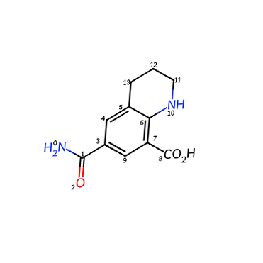 NC(=O)c1cc2c(c(C(=O)O)c1)NCCC2